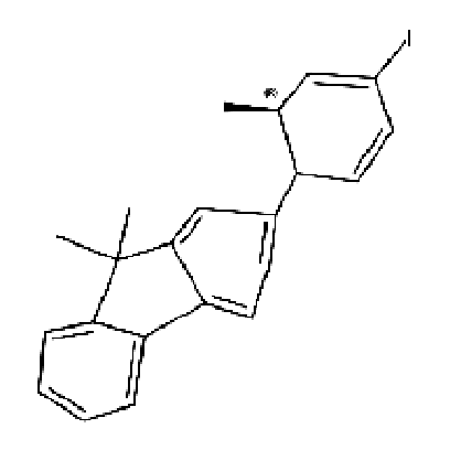 C[C@H]1C=C(I)C=CC1c1ccc2c(c1)C(C)(C)c1ccccc1-2